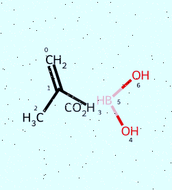 C=C(C)C(=O)O.OBO